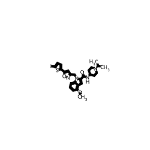 COc1cccc2c1cc(C(=O)NC1CCN(C(C)C)CC1)n2Cc1cc(-c2ccc(I)s2)on1